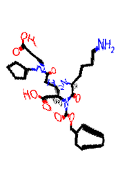 NCCCC[C@H](N)C(=O)N(C(=O)OCc1ccccc1)[C@H](CCC(=O)N(CC(=O)O)C1CCCC1)C(=O)O